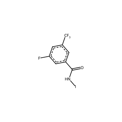 O=C(NI)c1cc(F)cc(C(F)(F)F)c1